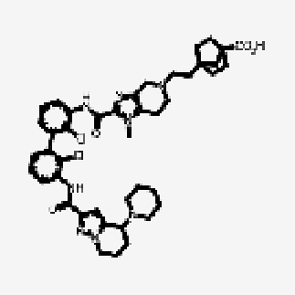 Cn1c(C(=O)Nc2cccc(-c3cccc(NC(=O)c4cc5n(n4)CCCC5N4CCCCC4)c3Cl)c2Cl)nc2c1CCN(CCC13CCC(C(=O)O)(CC1)C3)C2